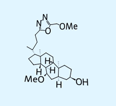 COCc1nnc(CCC(C)[C@H]2CC[C@H]3[C@@H]4[C@H](OC)C[C@@H]5C[C@H](O)CC[C@]5(C)[C@H]4CC[C@]23C)o1